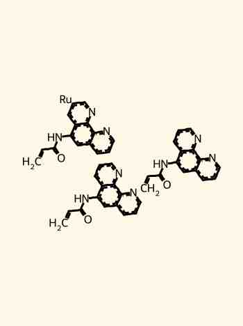 C=CC(=O)Nc1cc2cccnc2c2ncccc12.C=CC(=O)Nc1cc2cccnc2c2ncccc12.C=CC(=O)Nc1cc2cccnc2c2ncccc12.[Ru]